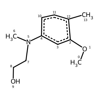 COc1cc(N(C)CCO)ccc1C